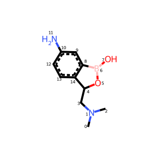 CN(C)CC1OB(O)c2cc(N)ccc21